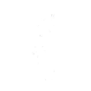 CC(=O)Nc1ccc(NC=C2C(=O)Nc3cc(-c4ccco4)ccc32)cc1